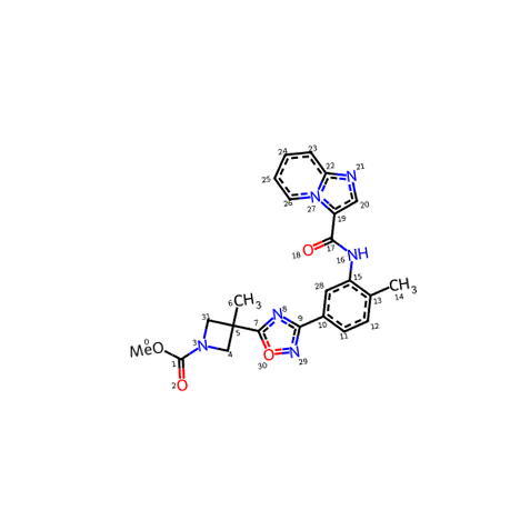 COC(=O)N1CC(C)(c2nc(-c3ccc(C)c(NC(=O)c4cnc5ccccn45)c3)no2)C1